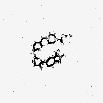 CCCCOC(=O)N1CCN(Cc2ccc(Nc3ncc(F)c(-c4ccc5nn(C)c(C(C)C)c5c4)n3)nc2)CC1